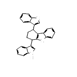 c1ccc2c(C3CCC(c4c[nH]c5ccccc45)c4c3[nH]c3ccccc43)c[nH]c2c1